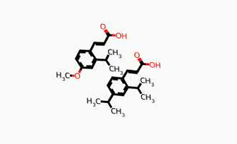 CC(C)c1ccc(C=CC(=O)O)c(C(C)C)c1.COc1ccc(C=CC(=O)O)c(C(C)C)c1